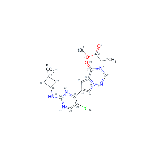 CC(C(=O)OC(C)(C)C)n1cnn2cc(-c3nc(NC4CC(C(=O)O)C4)ncc3Cl)cc2c1=O